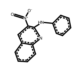 O=[N+]([O-])c1cc2ccccc2nc1Nc1ccccc1